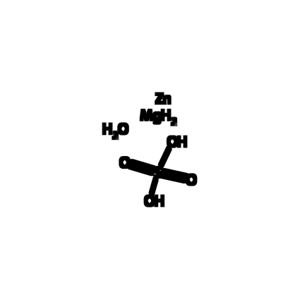 O.O=S(=O)(O)O.[MgH2].[Zn]